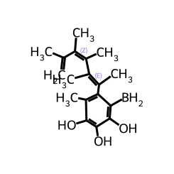 Bc1c(O)c(O)c(O)c(C)c1/C(C)=C(C)/C(C)=C(/C)C(=C)C